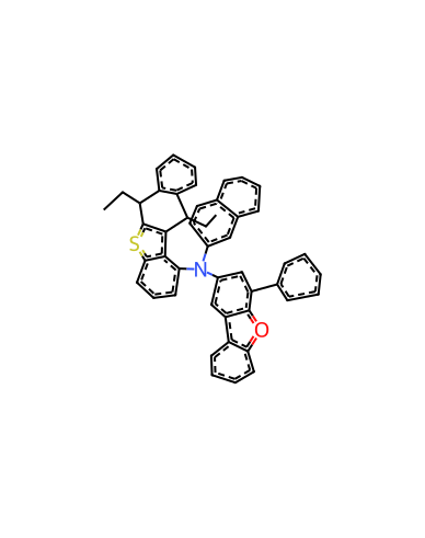 CCC1c2ccccc2C(CC)c2c1sc1cccc(N(c3ccc4ccccc4c3)c3cc(-c4ccccc4)c4oc5ccccc5c4c3)c21